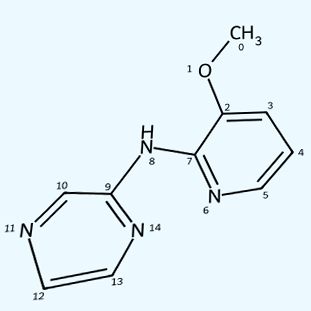 COc1cccnc1Nc1cnccn1